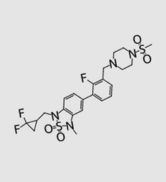 CN1c2cc(-c3cccc(CN4CCN(S(C)(=O)=O)CC4)c3F)ccc2N(CC2CC2(F)F)S1(=O)=O